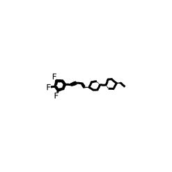 CC[C@H]1CC[C@H]([C@H]2CC[C@H](C=CC#Cc3cc(F)c(F)c(F)c3)CC2)CC1